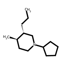 CCC[C@@H]1CN(C2CCCC2)CC[C@H]1C